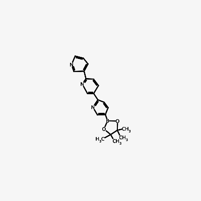 CC1(C)OB(c2ccc(-c3ccc(-c4cccnc4)nc3)nc2)OC1(C)C